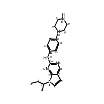 CCC(C)n1ccc2cnc(Nc3ccc(N4CCNCC4)cc3)nc21